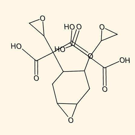 O=C(O)C(C(=O)O)(C1CO1)C1CC2OC2CC1C(C(=O)O)(C(=O)O)C1CO1